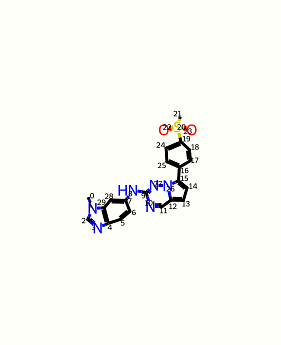 Cn1cnc2ccc(Nc3ncc4ccc(-c5ccc(S(C)(=O)=O)cc5)n4n3)cc21